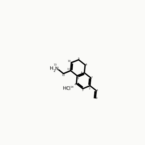 C=Cc1ccc2c(c1)CCC=C2CN.Cl